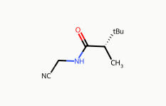 C[C@H](C(=O)NCC#N)C(C)(C)C